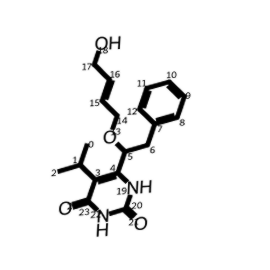 CC(C)c1c(C(Cc2ccccc2)OCC=CCO)[nH]c(=O)[nH]c1=O